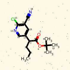 CCCC(C(=O)OC(C)(C)C)c1cnc(Cl)c(C#N)c1